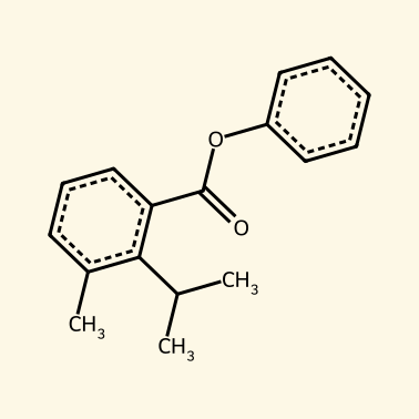 Cc1cccc(C(=O)Oc2ccccc2)c1C(C)C